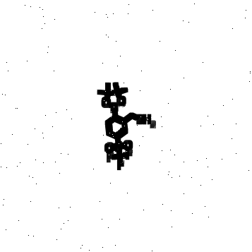 BCc1cc(S(=O)(=O)C(F)(F)F)ccc1B1OC(C)(C)C(C)(C)O1